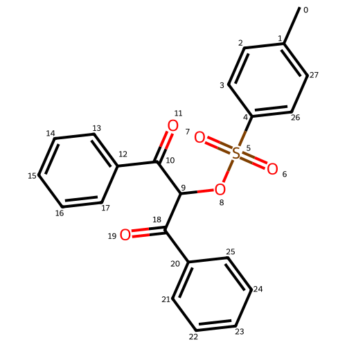 Cc1ccc(S(=O)(=O)OC(C(=O)c2ccccc2)C(=O)c2ccccc2)cc1